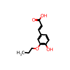 CCCOc1cc(/C=C/C(=O)O)ccc1O